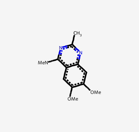 CNc1nc(C)nc2cc(OC)c(OC)cc12